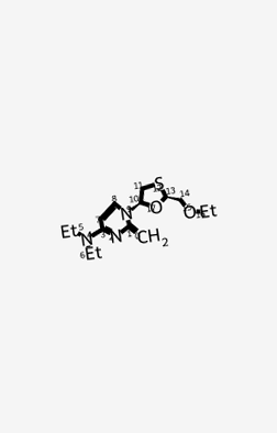 C=C1N=C(N(CC)CC)C=CN1[C@H]1CS[C@@H](COCC)O1